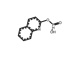 O=[PH](O)Oc1ccc2ccccc2n1